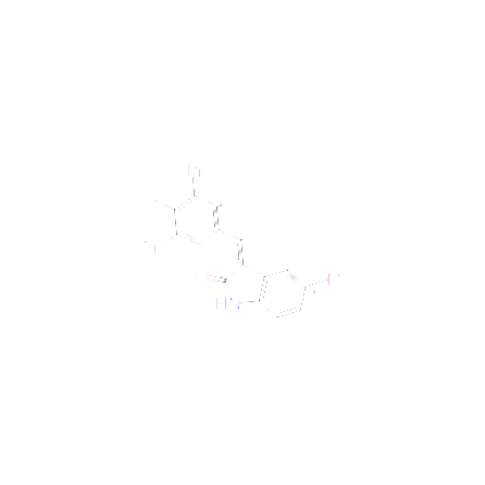 Cc1c(Br)cc(/C=C2\C(=O)Nc3ccc(I)cc32)cc1Br